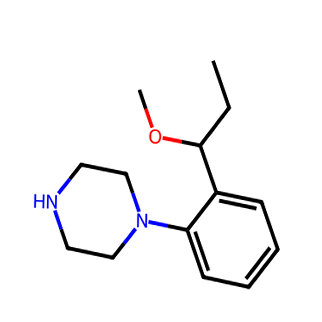 CCC(OC)c1ccccc1N1CCNCC1